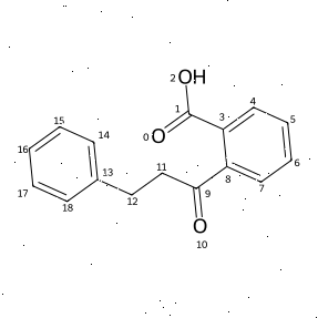 O=C(O)c1ccccc1C(=O)CCc1ccccc1